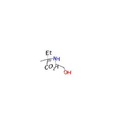 CC[C@](C)(NCCO)C(=O)O